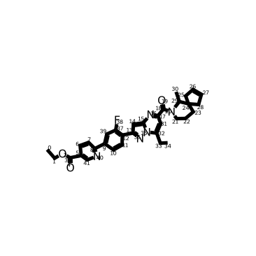 CCOC(=O)c1ccc(-c2ccc(-c3cc4nc(C(=O)N5CCCC6(CC=CC6)C5C)cc(CC)n4n3)c(F)c2)nc1